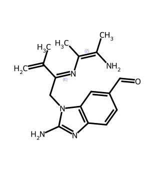 C=C(C)/C(Cn1c(N)nc2ccc(C=O)cc21)=N\C(C)=C(\C)N